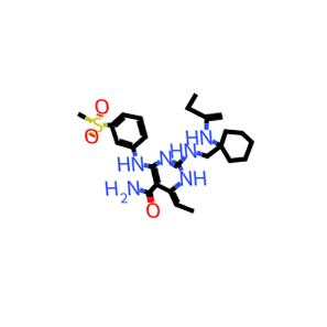 C=C(CC)NC1(CNC2=NC(Nc3cccc(S(C)(=O)=O)c3)=C(C(N)=O)C(=CC)N2)CCCCC1